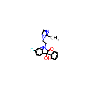 Cc1nccn1CCNC(=O)C(O)(c1ccccc1)c1ccc(F)cc1